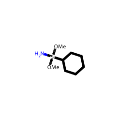 CO[Si](N)(OC)C1CCCCC1